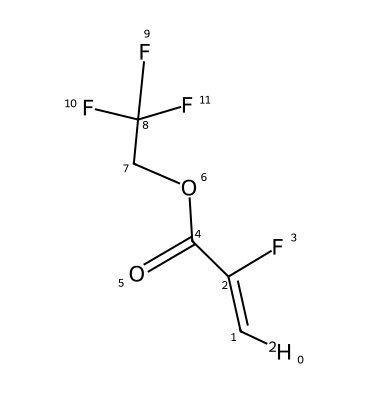 [2H]/C=C(\F)C(=O)OCC(F)(F)F